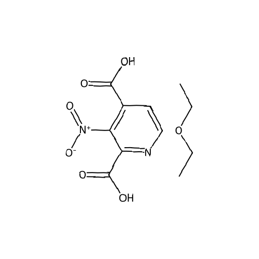 CCOCC.O=C(O)c1ccnc(C(=O)O)c1[N+](=O)[O-]